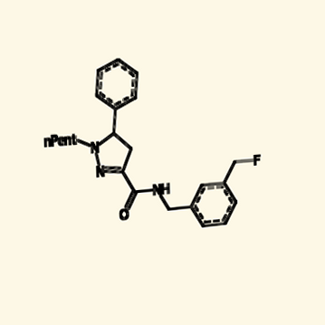 CCCCCN1N=C(C(=O)NCc2cccc(CF)c2)CC1c1ccccc1